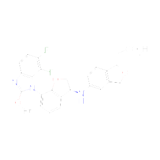 CCOc1nc2ccc(F)c(F)c2n1-c1cccc2c1OC[C@H]2Nc1ccc2c(c1)CO[C@H]2CC(=O)O